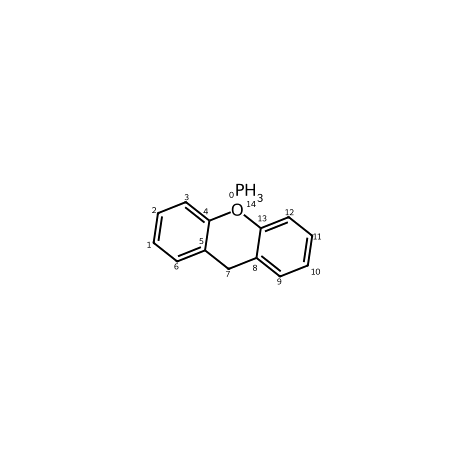 P.c1ccc2c(c1)Cc1ccccc1O2